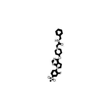 CS(=O)(=O)c1ccc(N2CCc3c(OC4CCN(CC(=O)NCc5ccccc5)CC4)ncnc32)c(F)c1